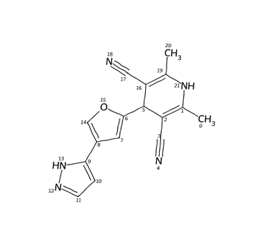 CC1=C(C#N)C(c2cc(-c3ccn[nH]3)co2)C(C#N)=C(C)N1